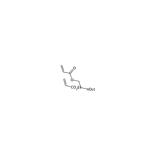 C=CC(=O)OCC.C=CC(=O)OCCCCCCCCCC